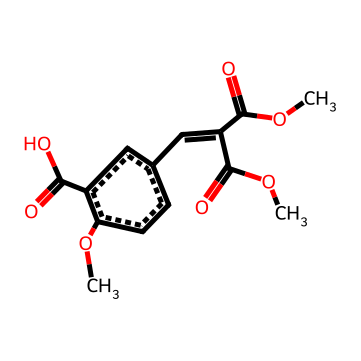 COC(=O)C(=Cc1ccc(OC)c(C(=O)O)c1)C(=O)OC